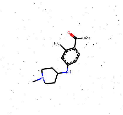 COC(=O)c1ccc(NC2CCN(C)CC2)cc1C(F)(F)F